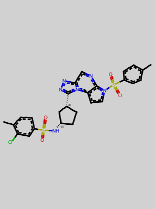 Cc1ccc(S(=O)(=O)n2ccc3c2ncc2nnc([C@@H]4CC[C@H](NS(=O)(=O)c5ccc(C)c(Cl)c5)C4)n23)cc1